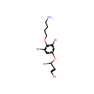 NCCCCOc1c(Br)cc(OC(Br)C=CBr)cc1Br